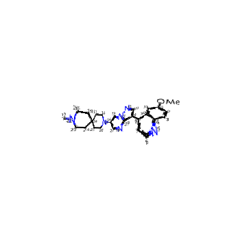 COc1ccc2nccc(-c3cnn4cc(N5CCC6(CCN(C)CC6)CC5)cnc34)c2c1